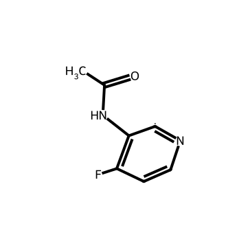 CC(=O)Nc1[c]nccc1F